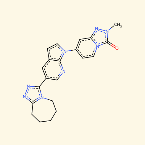 Cn1nc2cc(-n3ccc4cc(-c5nnc6n5CCCCC6)cnc43)ccn2c1=O